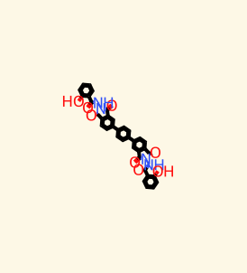 O=C(NN1C(=O)c2ccc(-c3ccc(-c4ccc5c(c4)C(=O)N(NC(=O)c4ccccc4O)C5=O)cc3)cc2C1=O)c1ccccc1O